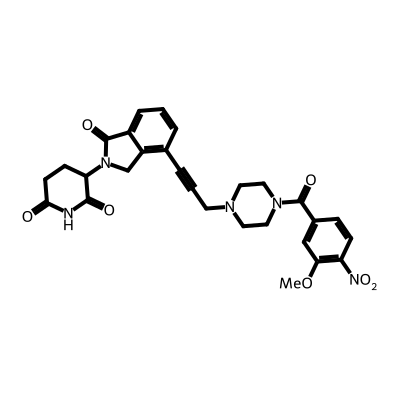 COc1cc(C(=O)N2CCN(CC#Cc3cccc4c3CN(C3CCC(=O)NC3=O)C4=O)CC2)ccc1[N+](=O)[O-]